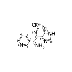 NC(c1cccnc1)c1nc(Cl)nc2[nH]cnc12